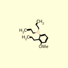 C=CCB(CC=C)c1cccc(OC)c1CC=C